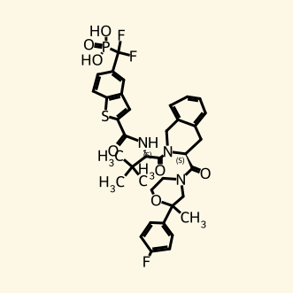 CC1(c2ccc(F)cc2)CN(C(=O)[C@@H]2Cc3ccccc3CN2C(=O)[C@@H](NC(=O)c2cc3cc(C(F)(F)P(=O)(O)O)ccc3s2)C(C)(C)C)CCO1